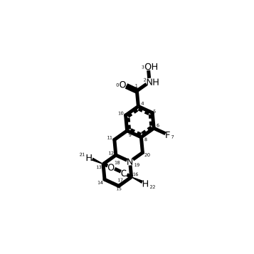 O=C(NO)c1cc(F)c2c(c1)CC1[C@H]3CC[C@H](CO3)N1C2